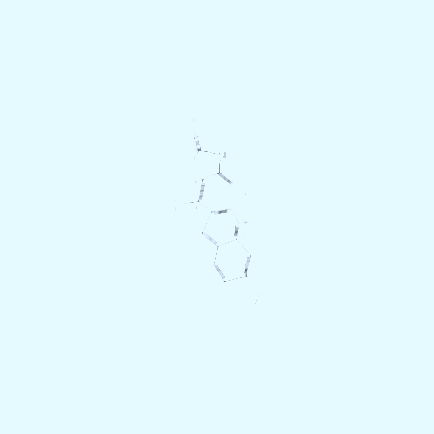 COc1ccc2cc(/C(C)=C3/SC(=O)NC3=O)ccc2c1